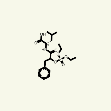 CCOP(=O)(OCC)OC(Cc1ccccc1)C(=O)N[C@@H](CC(C)C)C(=O)O